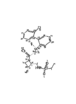 CCS(=O)(=O)NC[C@@H]1[C@H](F)CN1C(=O)[C@H]1C[C@]1(F)c1ccccc1-c1ccccc1Cl